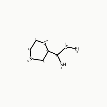 CCSC(S)C1CSCCS1